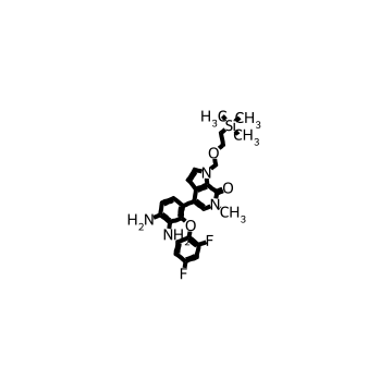 Cn1cc(-c2ccc(N)c(N)c2Oc2ccc(F)cc2F)c2ccn(COCC[Si](C)(C)C)c2c1=O